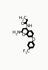 C=CC(=O)N[C@H]1C[C@H](N)Oc2cc(Oc3ccc(C(F)(F)F)cc3)ccc21